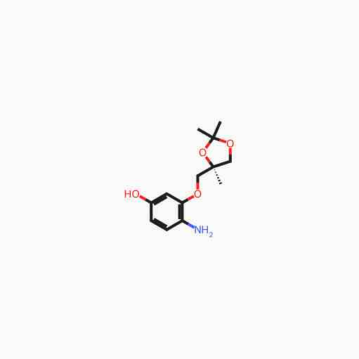 CC1(C)OC[C@@](C)(COc2cc(O)ccc2N)O1